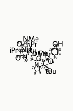 CCC(C)C(C(CC(=O)N1CCCC1C(CC(=O)N(CC)c1cccc(O)c1)SC(C)(C)C)OC)N(C)C(=O)C(NC(=O)C(NC)C(C)C)C(C)C